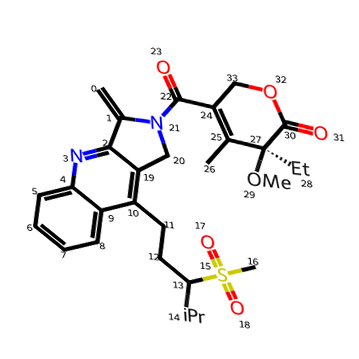 C=C1c2nc3ccccc3c(CCC(C(C)C)S(C)(=O)=O)c2CN1C(=O)C1=C(C)[C@](CC)(OC)C(=O)OC1